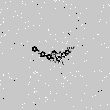 Cc1ccn(-c2cc(-c3ccc(OCc4ccccc4)c(F)c3)ccc2[C@@H](Oc2cc(N3CCC4(CC3)CN[C@H](C(=O)O)C4)nc(N)n2)C(F)(F)F)n1